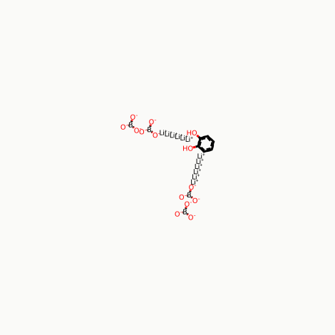 Oc1ccccc1O.[Li+].[Li+].[Li+].[Li+].[Li+].[Li+].[Li+].[Li+].[Li+].[Li+].[Li+].[Li+].[O-]B([O-])[O-].[O-]B([O-])[O-].[O-]B([O-])[O-].[O-]B([O-])[O-]